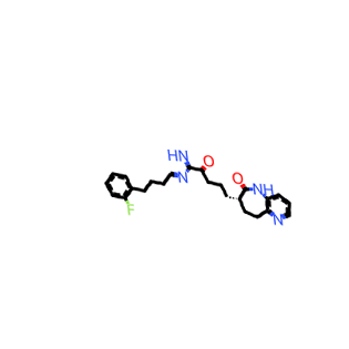 N=C(/N=C/CCCc1ccccc1F)C(=O)CCC[C@H]1CCc2ncccc2NC1=O